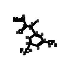 CNC(=O)N(C)c1cc(C(F)(F)F)cc(C(F)(F)F)c1